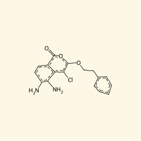 Nc1ccc2c(=O)oc(OCCc3ccccc3)c(Cl)c2c1N